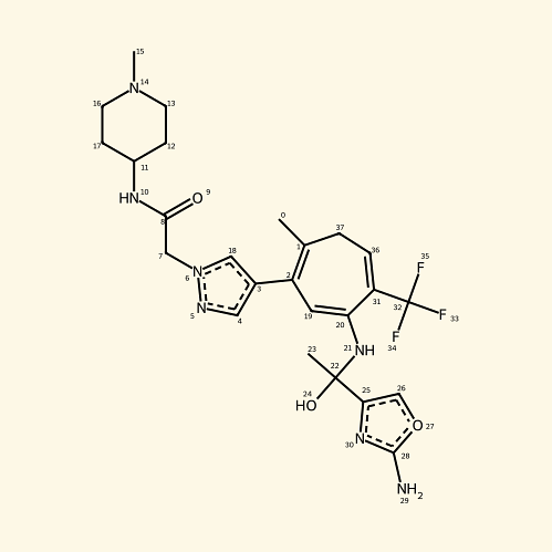 CC1=C(c2cnn(CC(=O)NC3CCN(C)CC3)c2)C=C(NC(C)(O)c2coc(N)n2)C(C(F)(F)F)=CC1